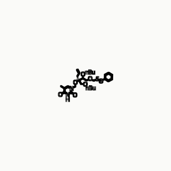 C=CC[C@](COCCCC)(OCn1cc(C)c(=O)[nH]c1=O)C(COCSOc1ccccc1)OCCCC